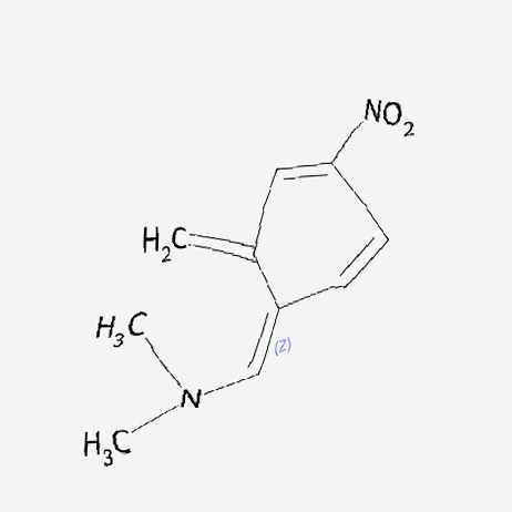 C=c1cc([N+](=O)[O-])cc/c1=C/N(C)C